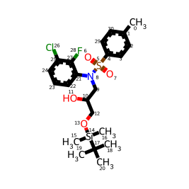 Cc1ccc(S(=O)(=O)N(CC(O)CO[Si](C)(C)C(C)(C)C)c2cccc(Cl)c2F)cc1